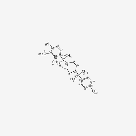 COc1c(C(C)C)ccc(C(C)(C)C2CCC(C(C)(C)c3ccc(C(F)(F)F)cc3)CC2)c1C